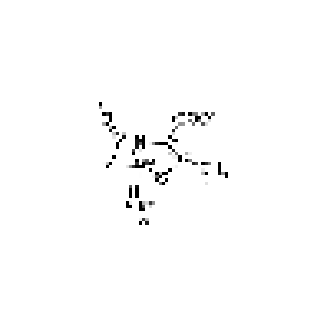 CC1=C(C(=O)[O-])N2C(=O)C[C@@H]2S1.[K+]